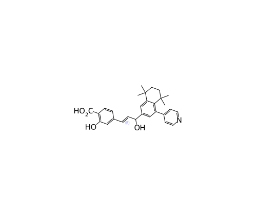 CC1(C)CCC(C)(C)c2c(-c3ccncc3)cc(C(O)/C=C/c3ccc(C(=O)O)c(O)c3)cc21